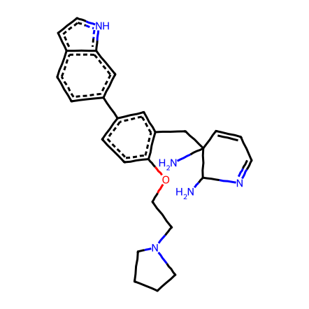 NC1N=CC=CC1(N)Cc1cc(-c2ccc3cc[nH]c3c2)ccc1OCCN1CCCC1